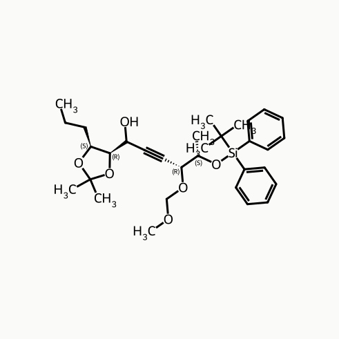 CCC[C@@H]1OC(C)(C)O[C@@H]1C(O)C#C[C@@H](OCOC)[C@H](C)O[Si](c1ccccc1)(c1ccccc1)C(C)(C)C